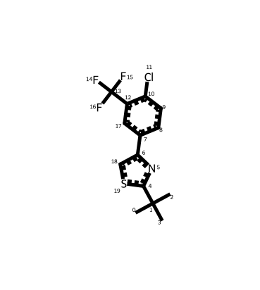 CC(C)(C)c1nc(-c2ccc(Cl)c(C(F)(F)F)c2)cs1